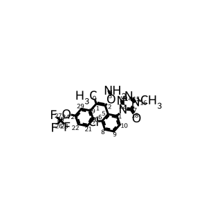 C/C(=C(\ON)c1c(Cl)cccc1-n1nnn(C)c1=O)c1cccc(OC(F)(F)F)c1